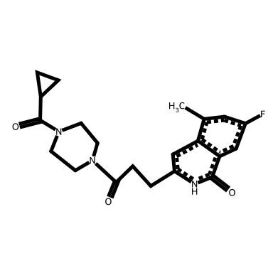 Cc1cc(F)cc2c(=O)[nH]c(CCC(=O)N3CCN(C(=O)C4CC4)CC3)cc12